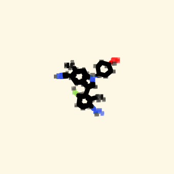 Cc1cc2c(cc1C#N)c(-c1c(F)ccc(N)c1C)cn2[C@H]1CC[C@H](O)CC1